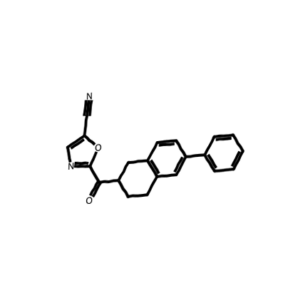 N#Cc1cnc(C(=O)C2CCc3cc(-c4ccccc4)ccc3C2)o1